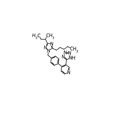 CCCCCc1nc(C(C)CC)nn1Cc1ccc(-c2ccncc2-c2nnn[nH]2)cc1